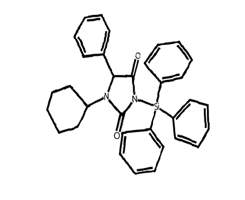 O=C1C(c2ccccc2)N(C2CCCCC2)C(=O)N1[Si](c1ccccc1)(c1ccccc1)c1ccccc1